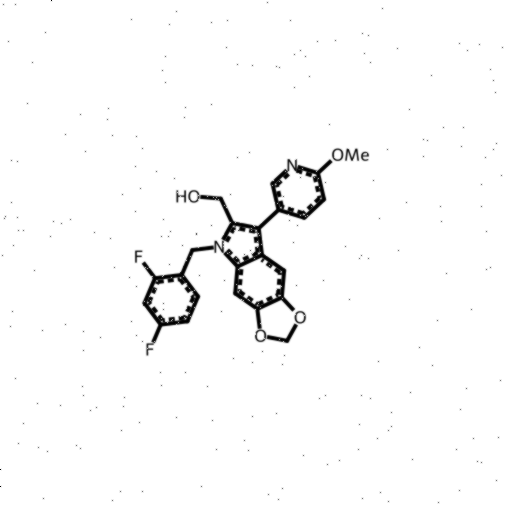 COc1ccc(-c2c(CO)n(Cc3ccc(F)cc3F)c3cc4c(cc23)OCO4)cn1